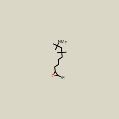 CNC(C)(C)CC(C)(C)CCCCC1OC1C(C)C